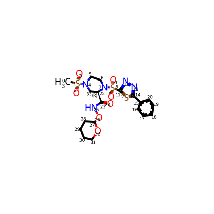 CS(=O)(=O)N1CCN(S(=O)(=O)c2nnc(-c3ccccc3)s2)[C@@H](C(=O)NOC2CCCCO2)C1